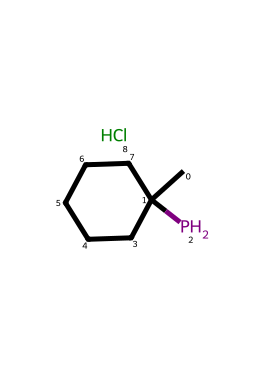 CC1(P)CCCCC1.Cl